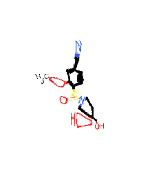 COc1cc(C#N)ccc1[S+]([O-])N1CCC(O)(CO)C1